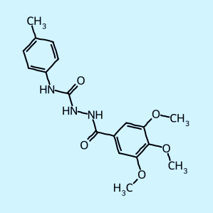 COc1cc(C(=O)NNC(=O)Nc2ccc(C)cc2)cc(OC)c1OC